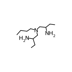 CCCCN(CC(N)CC)CC(N)CC